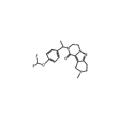 CC(c1ccc(OC(F)F)cc1)N1CCn2nc3c(c2C1=O)CN(C)CC3